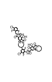 O=C(NCc1c(F)ccc(Cl)c1F)C1=CN2C(=C(O)C1O)C(=O)N1CCC(c3cc(Cl)c(F)c(CNC(=O)c4cn5c(c(O)c4=O)C(=O)N4CCCCCCN5C4)c3F)CCCN2C1